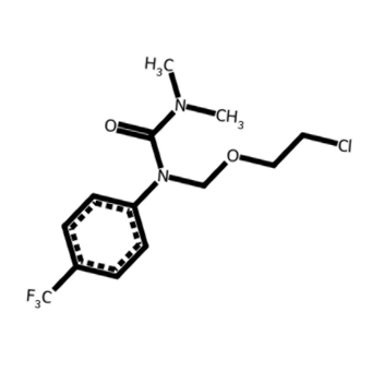 CN(C)C(=O)N(COCCCl)c1ccc(C(F)(F)F)cc1